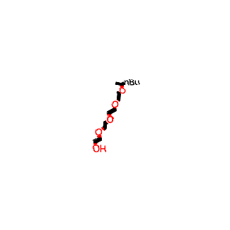 CCCCC(C)OCCOCCOCCOCCO